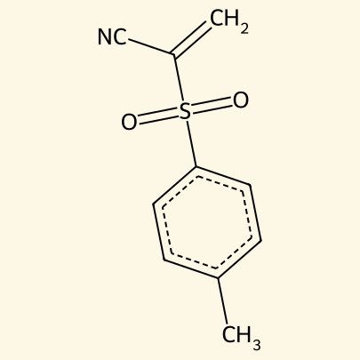 C=C(C#N)S(=O)(=O)c1ccc(C)cc1